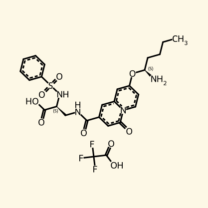 CCCC[C@@H](N)Oc1ccn2c(=O)cc(C(=O)NC[C@H](NS(=O)(=O)c3ccccc3)C(=O)O)cc2c1.O=C(O)C(F)(F)F